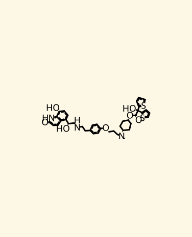 CN(CCCOc1ccc(CCNC[C@H](O)c2ccc(O)c3[nH]c(=O)ccc23)cc1)[C@H]1CC[C@H](OC(=O)C(O)(c2cccs2)c2cccs2)CC1